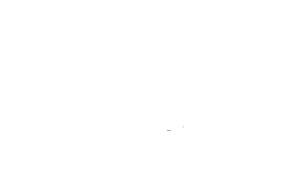 CCC1(C=O)CC=C(CCC=C(C)C)CC1